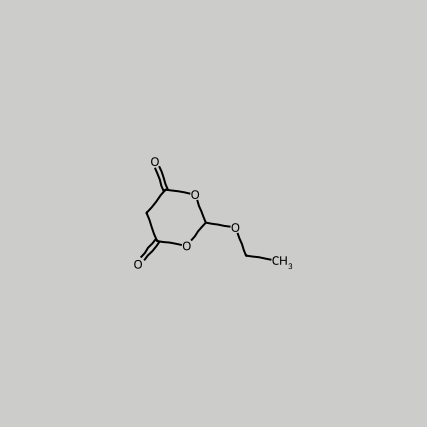 CCOC1OC(=O)CC(=O)O1